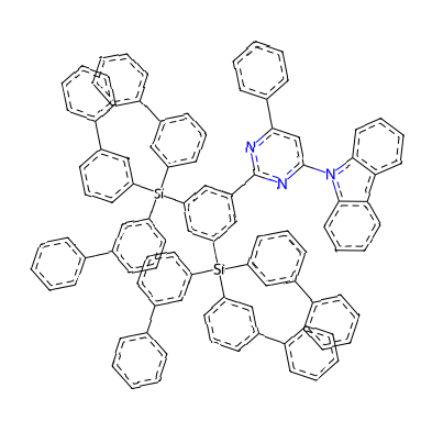 c1ccc(-c2cccc([Si](c3cccc(-c4ccccc4)c3)(c3cccc(-c4ccccc4)c3)c3cc(-c4nc(-c5ccccc5)cc(-n5c6ccccc6c6ccccc65)n4)cc([Si](c4cccc(-c5ccccc5)c4)(c4cccc(-c5ccccc5)c4)c4cccc(-c5ccccc5)c4)c3)c2)cc1